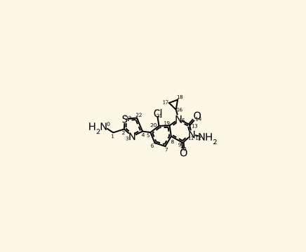 NCc1nc(-c2ccc3c(=O)n(N)c(=O)n(C4CC4)c3c2Cl)cs1